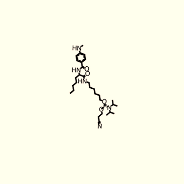 CCCCCC(NC(=O)c1ccc(NC)cc1)C(=O)NCCCCCCOP(OCCC#N)N(C(C)C)C(C)C